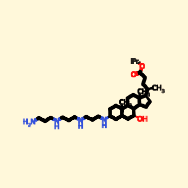 CC(C)OC(=O)CC[C@@H](C)[C@H]1CCC2C3C(CC[C@@]21C)[C@@]1(C)CC[C@H](NCCCNCCCNCCCN)CC1C[C@H]3O